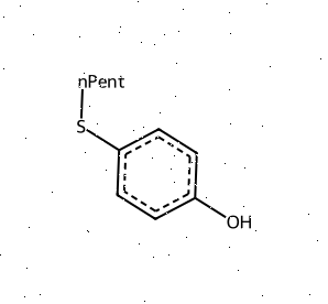 CCCCCSc1ccc(O)cc1